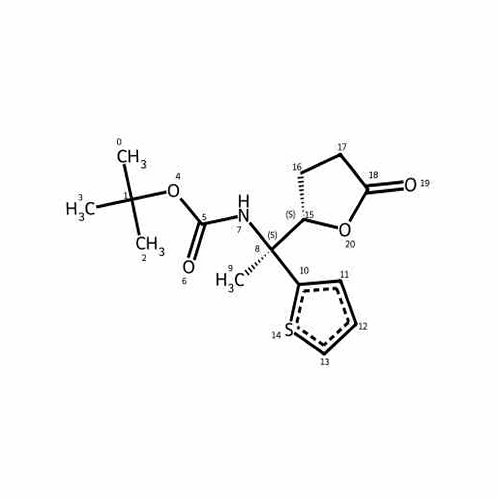 CC(C)(C)OC(=O)N[C@](C)(c1cccs1)[C@@H]1CCC(=O)O1